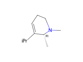 CC(C)C1=CCCN(C)[C@@H]1C